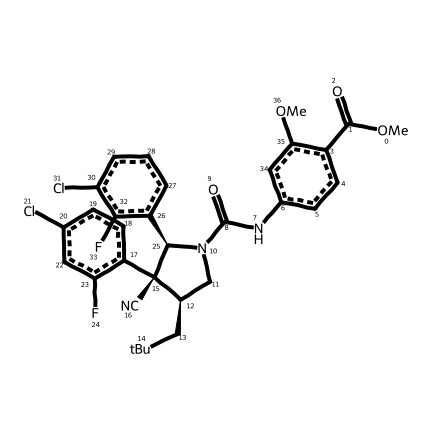 COC(=O)c1ccc(NC(=O)N2C[C@@H](CC(C)(C)C)[C@](C#N)(c3ccc(Cl)cc3F)[C@H]2c2cccc(Cl)c2F)cc1OC